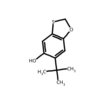 CC(C)(C)c1cc2c(cc1O)SCO2